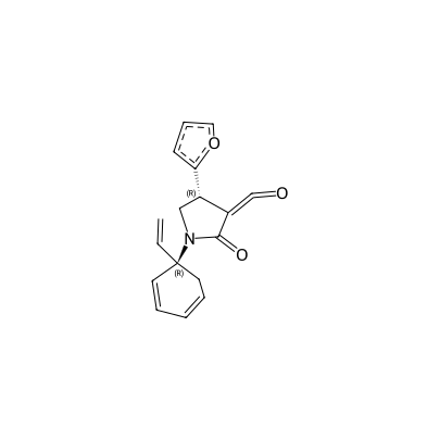 C=C[C@@]1(N2C[C@H](c3ccco3)C(=C=O)C2=O)C=CC=CC1